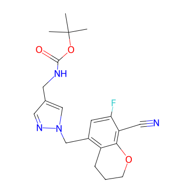 CC(C)(C)OC(=O)NCc1cnn(Cc2cc(F)c(C#N)c3c2CCCO3)c1